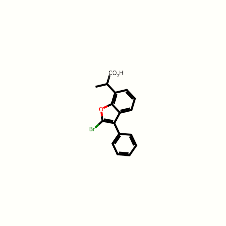 CC(C(=O)O)c1cccc2c(-c3ccccc3)c(Br)oc12